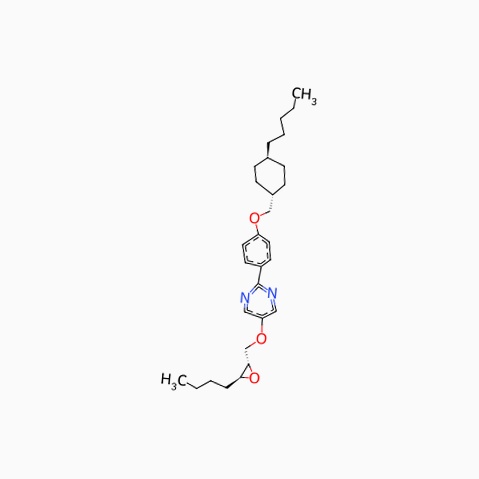 CCCCC[C@H]1CC[C@H](COc2ccc(-c3ncc(OC[C@@H]4O[C@H]4CCCC)cn3)cc2)CC1